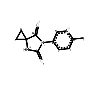 Cc1ccc(N2C(=O)NC3(CC3)C2=O)cn1